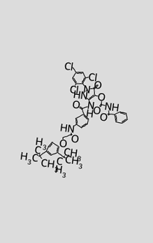 CC(C)(C)c1ccc(OCC(=O)Nc2cccc(C(=O)Nc3[nH]n(-c4c(Cl)cc(Cl)cc4Cl)c(=O)c3OC(=O)NC(=O)c3ccccc3)c2)c(C(C)(C)C)c1